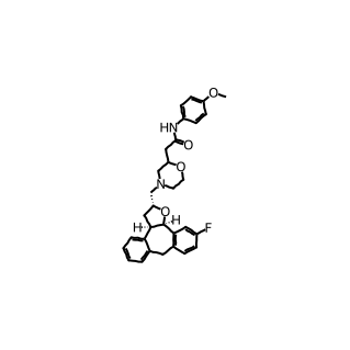 COc1ccc(NC(=O)CC2CN(C[C@H]3C[C@@H]4c5ccccc5Cc5ccc(F)cc5[C@@H]4O3)CCO2)cc1